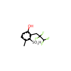 Cc1ccc(O)c(CC(F)(F)C(F)F)c1S(=O)(=O)O